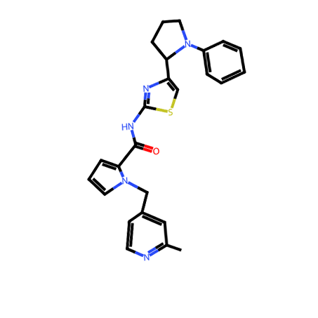 Cc1cc(Cn2cccc2C(=O)Nc2nc(C3CCCN3c3ccccc3)cs2)ccn1